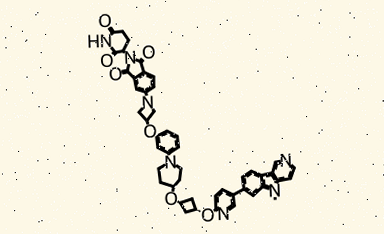 Cn1c2ccncc2c2ccc(-c3ccc(O[C@H]4C[C@H](OC5CCN(c6cccc(OC7CN(c8ccc9c(c8)C(=O)N(C8CCC(=O)NC8=O)C9=O)C7)c6)CC5)C4)nc3)cc21